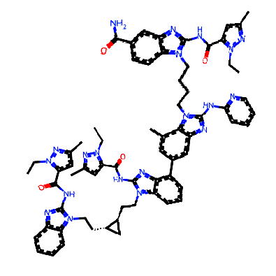 CCn1nc(C)cc1C(=O)Nc1nc2cc(C(N)=O)ccc2n1CCCCn1c(Nc2ccccn2)nc2cc(-c3cccc4c3nc(NC(=O)c3cc(C)nn3CC)n4CC[C@H]3C[C@@H]3CCn3c(NC(=O)c4cc(C)nn4CC)nc4ccccc43)cc(C)c21